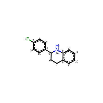 Fc1ccc(C2CCc3ccccc3N2)cc1